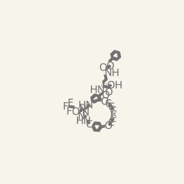 O=C(NCCC[C@H](NC(=O)c1ccc2cc1OCCCCCCOc1ccc(cc1)CNc1nc(nc(OCC(F)(F)F)n1)N2)C(=O)O)OCc1ccccc1